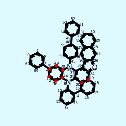 c1ccc(-c2ccc(N(c3ccccc3-c3ccccc3)c3ccc4oc5cc6ccccc6cc5c4c3N(c3ccccc3)c3ccc(-c4ccccc4)cc3)cc2)cc1